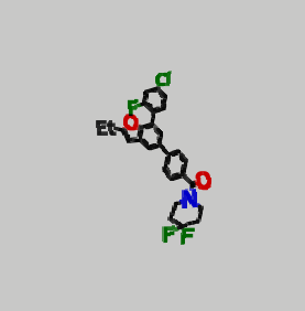 CCc1cc2cc(-c3ccc(C(=O)N4CCC(F)(F)CC4)cc3)cc(-c3ccc(Cl)cc3F)c2o1